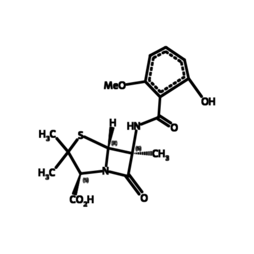 COc1cccc(O)c1C(=O)N[C@@]1(C)C(=O)N2[C@@H](C(=O)O)C(C)(C)S[C@@H]21